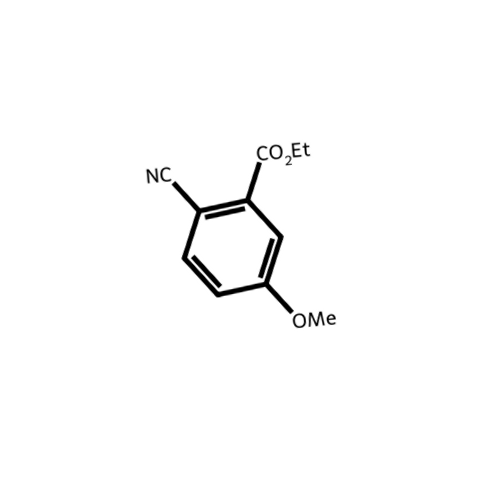 CCOC(=O)c1cc(OC)ccc1C#N